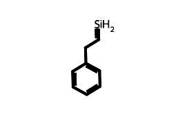 [SiH2]=CCc1ccccc1